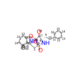 CCC(C)[C@H](N)CS(=O)(=O)N[C@@H](CCc1ccccc1)C(=O)COc1ccccc1